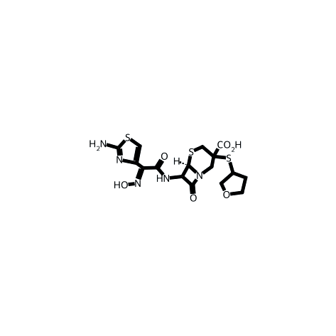 Nc1nc(C(=NO)C(=O)NC2C(=O)N3CC(SC4CCOC4)(C(=O)O)CS[C@H]23)cs1